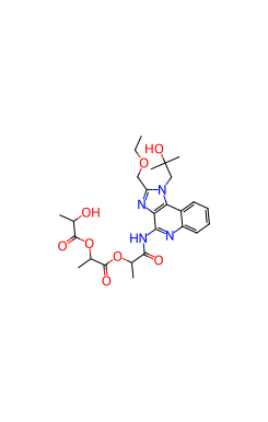 CCOCc1nc2c(NC(=O)C(C)OC(=O)C(C)OC(=O)C(C)O)nc3ccccc3c2n1CC(C)(C)O